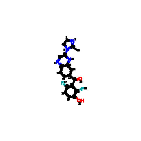 Cc1nccn1-c1cnc2ccc(C(=O)c3c(F)ccc(O)c3F)cc2n1